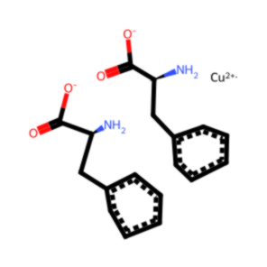 N[C@@H](Cc1ccccc1)C(=O)[O-].N[C@@H](Cc1ccccc1)C(=O)[O-].[Cu+2]